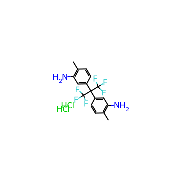 Cc1ccc(C(c2ccc(C)c(N)c2)(C(F)(F)F)C(F)(F)F)cc1N.Cl.Cl